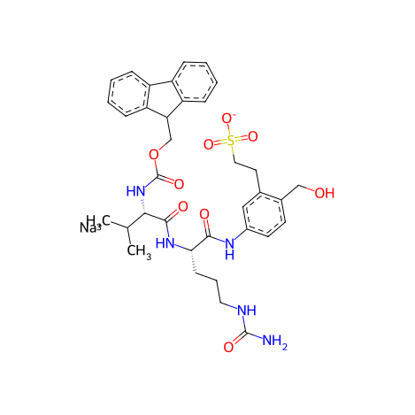 CC(C)[C@H](NC(=O)OCC1c2ccccc2-c2ccccc21)C(=O)N[C@@H](CCCNC(N)=O)C(=O)Nc1ccc(CO)c(CCS(=O)(=O)[O-])c1.[Na+]